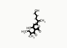 CCC(C)C(=O)c1c(O)cc(C(C)CCCO)oc1=O